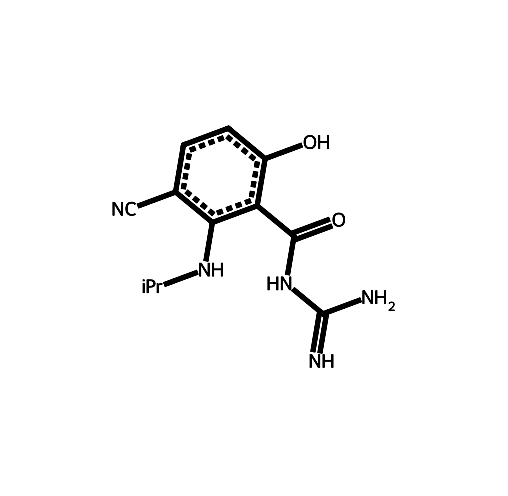 CC(C)Nc1c(C#N)ccc(O)c1C(=O)NC(=N)N